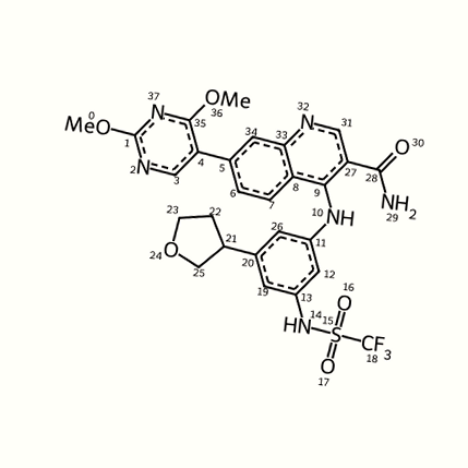 COc1ncc(-c2ccc3c(Nc4cc(NS(=O)(=O)C(F)(F)F)cc(C5CCOC5)c4)c(C(N)=O)cnc3c2)c(OC)n1